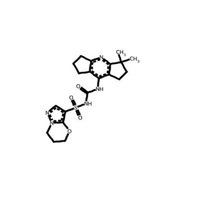 CC1(C)CCc2c1nc1c(c2NC(=O)NS(=O)(=O)c2cnn3c2OCCC3)CCC1